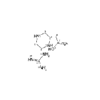 C1CNCCN1.CC(=O)O.N=C(N)N